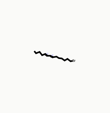 CCCC/C=C/C=C/CCCCCCBr